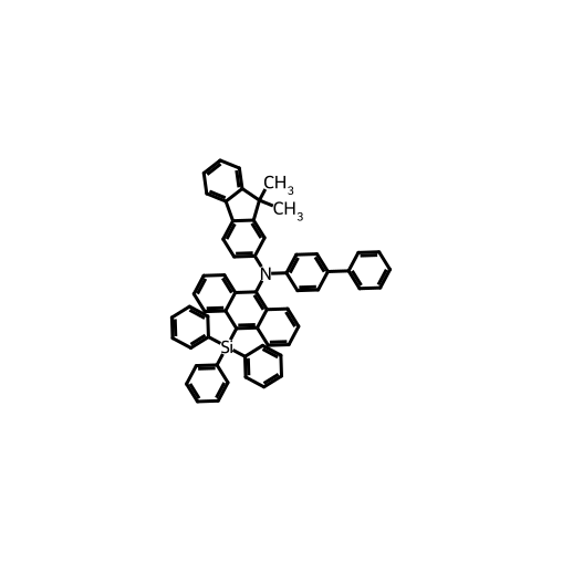 CC1(C)c2ccccc2-c2ccc(N(c3ccc(-c4ccccc4)cc3)c3c4ccccc4c([Si](c4ccccc4)(c4ccccc4)c4ccccc4)c4ccccc34)cc21